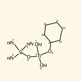 CCC[Si](CCC)(CCC)[O][Ti]([OH])([OH])[O]C1CCCCC1